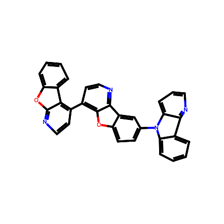 c1ccc2c(c1)oc1nccc(-c3ccnc4c3oc3ccc(-n5c6ccccc6c6ncccc65)cc34)c12